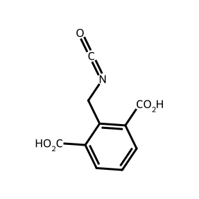 O=C=NCc1c(C(=O)O)cccc1C(=O)O